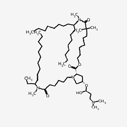 CCCCCCCCCCC(CC)N(C)C(=O)CCCCCN1C[C@@H](OC(O)CCN(C)C)C[C@H]1C(=O)OCCCCCCC(C)(C)C(=O)N(C)C(CCCCCCCC)CCCCCCCC